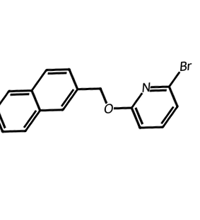 Brc1cccc(OCc2ccc3ccccc3c2)n1